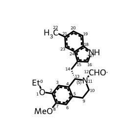 CCOc1cc2c(cc1OC)CCN([C]=O)[C@H]2Cc1c[nH]c2ccc(C)cc12